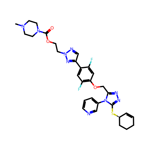 CN1CCN(C(=O)OCCn2ncc(-c3cc(F)c(OCc4nnc(S[C@H]5C=CCCC5)n4-c4cccnc4)cc3F)n2)CC1